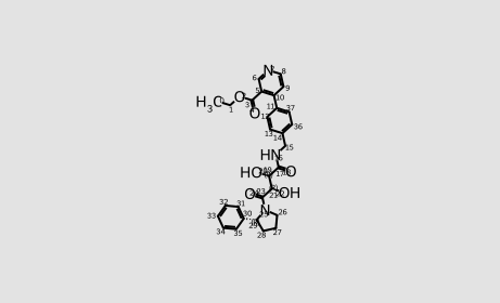 CCOC(=O)c1cnccc1-c1ccc(CNC(=O)[C@H](O)[C@@H](O)C(=O)N2CCC[C@@H]2c2ccccc2)cc1